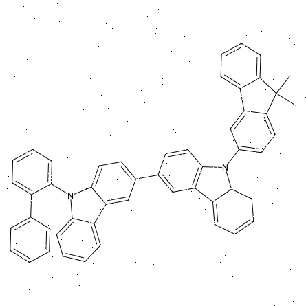 CC1(C)c2ccccc2-c2cc(N3c4ccc(-c5ccc6c(c5)c5ccccc5n6-c5ccccc5-c5ccccc5)cc4C4=CC=CCC43)ccc21